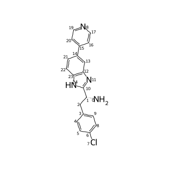 N[C@H](Cc1ccc(Cl)cc1)c1nc2cc(-c3ccncc3)ccc2[nH]1